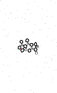 Clc1cc(N(c2ccccc2)c2cccc(N(c3ccccc3)c3cc(N(c4ccccc4)c4ccccc4)c4c(c3)oc3ccccc34)c2)c2c(c1)oc1ccccc12